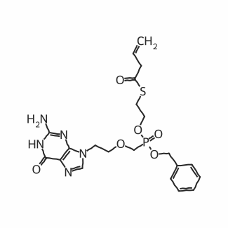 C=CCC(=O)SCCOP(=O)(COCCn1cnc2c(=O)[nH]c(N)nc21)OCc1ccccc1